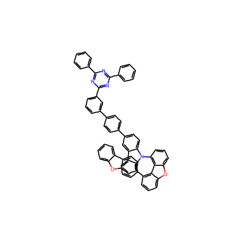 c1ccc(-c2nc(-c3ccccc3)nc(-c3cccc(-c4ccc(-c5ccc6c(c5)c5ccccc5n6-c5cccc6oc7cccc(-c8ccc9c(c8)oc8ccccc89)c7c56)cc4)c3)n2)cc1